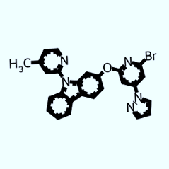 Cc1ccnc(-n2c3ccccc3c3ccc(Oc4cc(-n5cccn5)cc(Br)n4)cc32)c1